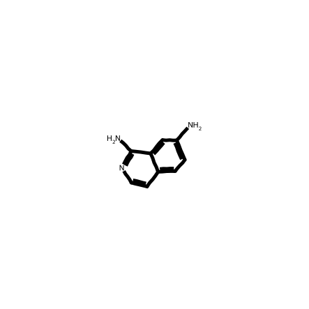 Nc1ccc2ccnc(N)c2c1